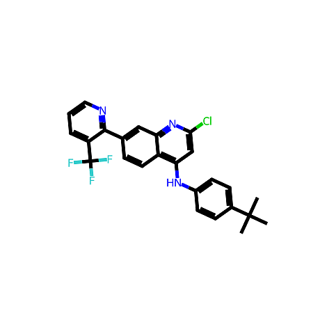 CC(C)(C)c1ccc(Nc2cc(Cl)nc3cc(-c4ncccc4C(F)(F)F)ccc23)cc1